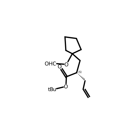 C=CC[C@@H](CC1(OC=O)CCCC1)C(=O)OC(C)(C)C